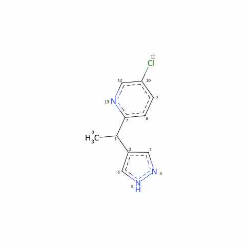 CC(c1cn[nH]c1)c1ccc(Cl)cn1